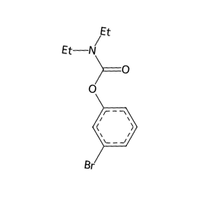 CCN(CC)C(=O)Oc1cccc(Br)c1